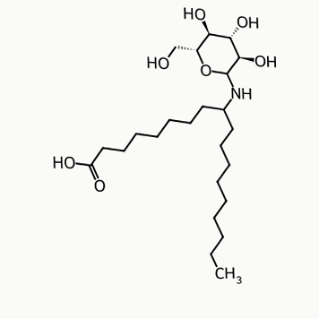 CCCCCCCCCC(CCCCCCCC(=O)O)NC1O[C@H](CO)[C@@H](O)[C@H](O)[C@H]1O